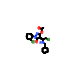 CC(=O)OC1=NN(c2ccccc2Cl)C(=O)C1=C(CCl)NCc1ccccc1